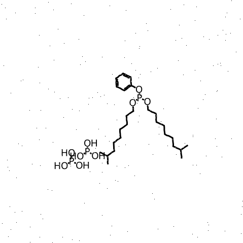 CC(C)CCCCCCCOP(OCCCCCCCC(C)C)Oc1ccccc1.OP(O)O.OP(O)O